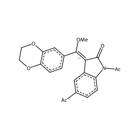 CO/C(=C1\C(=O)N(C(C)=O)c2ccc(C(C)=O)cc21)c1ccc2c(c1)OCCO2